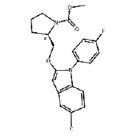 COC(=O)N1CCC[C@@H]1COc1cc2cc(Cl)ccc2n1-c1ccc(F)cc1